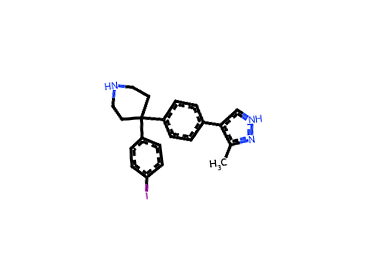 Cc1n[nH]cc1-c1ccc(C2(c3ccc(I)cc3)CCNCC2)cc1